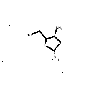 B[C@H]1C[C@H](N)C(CO)O1